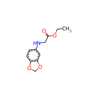 CCOC(=O)CNc1ccc2c(c1)OCO2